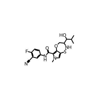 CC(C)C(O)C1COc2c(cn(C)c2C(=O)Nc2ccc(F)c(C#N)c2)SN1